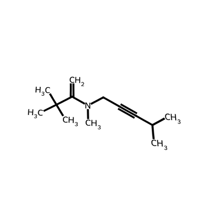 C=C(N(C)CC#CC(C)C)C(C)(C)C